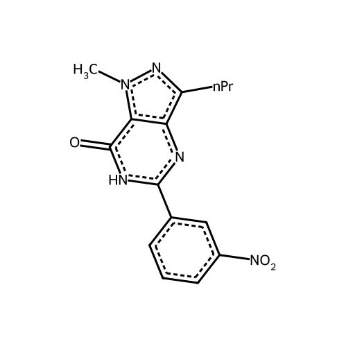 CCCc1nn(C)c2c(=O)[nH]c(-c3cccc([N+](=O)[O-])c3)nc12